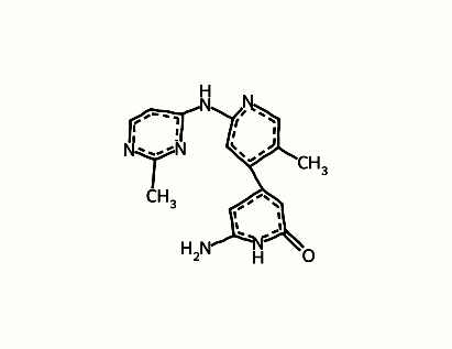 Cc1nccc(Nc2cc(-c3cc(N)[nH]c(=O)c3)c(C)cn2)n1